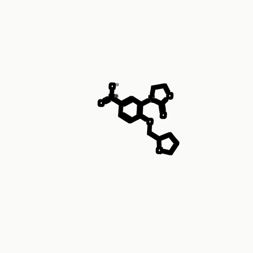 O=C1OCCN1c1cc([N+](=O)[O-])ccc1OCC1CCCO1